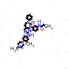 C=CC(=O)Nc1cccc(N2C(=O)N(c3ccccc3)CCc3cnc(Nc4ccc(N5CCN(C)CC5)c(C)c4)nc32)c1